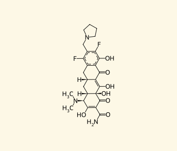 CN(C)[C@@H]1C(O)=C(C(N)=O)C(=O)[C@@]2(O)C(O)=C3C(=O)c4c(O)c(F)c(CN5CCCC5)c(F)c4C[C@H]3C[C@@H]12